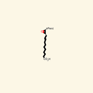 CCCCC[C@H]1O[C@H]1C/C=C/CCCCCCCC(=O)O